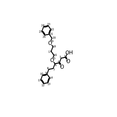 O=C(O)CC(=O)C(CCc1ccccc1)OCCCOCc1ccccc1